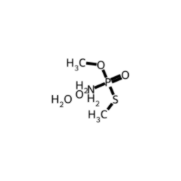 COP(N)(=O)SC.O.O